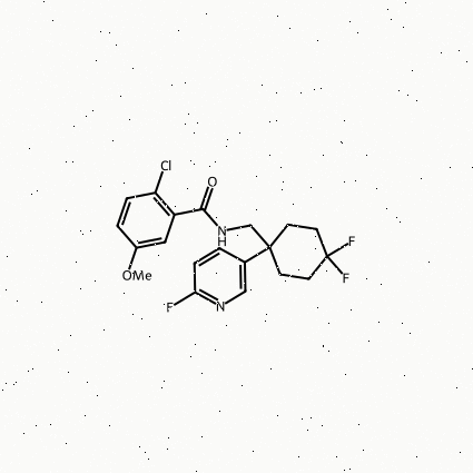 COc1ccc(Cl)c(C(=O)NCC2(c3ccc(F)nc3)CCC(F)(F)CC2)c1